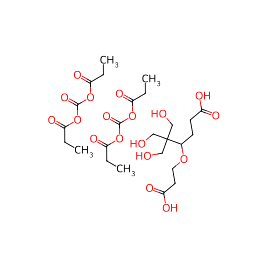 CCC(=O)OC(=O)OC(=O)CC.CCC(=O)OC(=O)OC(=O)CC.O=C(O)CCOC(CCC(=O)O)C(CO)(CO)CO